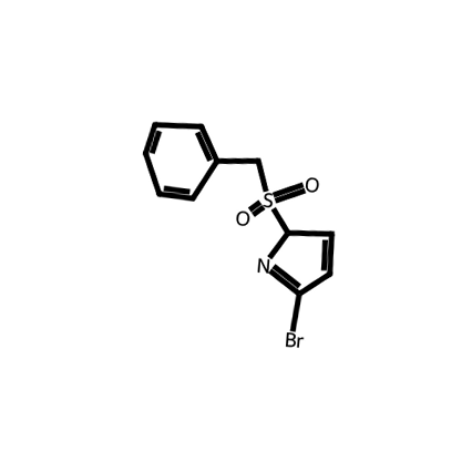 O=S(=O)(Cc1ccccc1)C1C=CC(Br)=N1